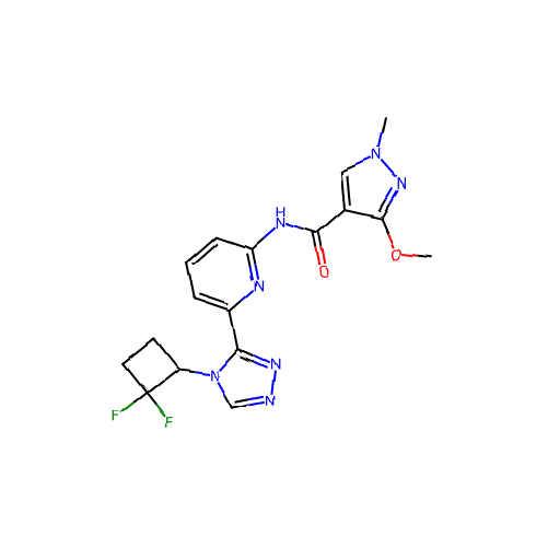 COc1nn(C)cc1C(=O)Nc1cccc(-c2nncn2C2CCC2(F)F)n1